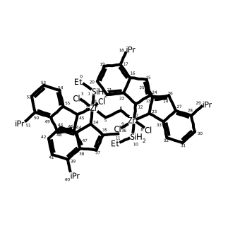 CC[SiH2][Zr]([Cl])([Cl])([CH2][CH2][Zr]([Cl])([Cl])([SiH2]CC)([CH]1C(C)=Cc2c(C(C)C)cccc21)[CH]1C(C)=Cc2c(C(C)C)cccc21)([CH]1C(C)=Cc2c(C(C)C)cccc21)[CH]1C(C)=Cc2c(C(C)C)cccc21